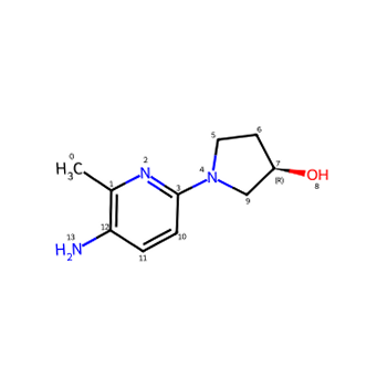 Cc1nc(N2CC[C@@H](O)C2)ccc1N